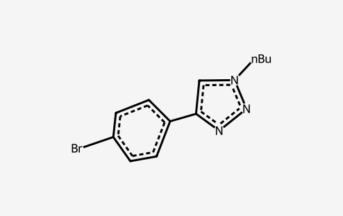 CCCCn1cc(-c2ccc(Br)cc2)nn1